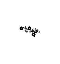 COC(=O)CC(c1cccc(F)c1)N(C=O)C1CC(=O)N(c2cccc(NC(=O)NCc3ccccc3)c2)C1